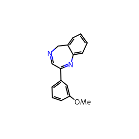 COc1cccc(C2=Nc3ccccc3CN=C2)c1